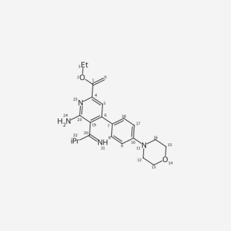 C=C(OCC)c1cc(-c2ccc(N3CCOCC3)cc2)c(C(=N)C(C)C)c(N)n1